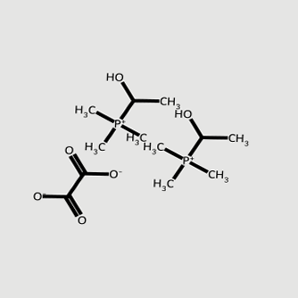 CC(O)[P+](C)(C)C.CC(O)[P+](C)(C)C.O=C([O-])C(=O)[O-]